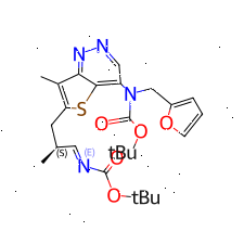 Cc1c(C[C@H](C)/C=N/C(=O)OC(C)(C)C)sc2c(N(Cc3ccco3)C(=O)OC(C)(C)C)cnnc12